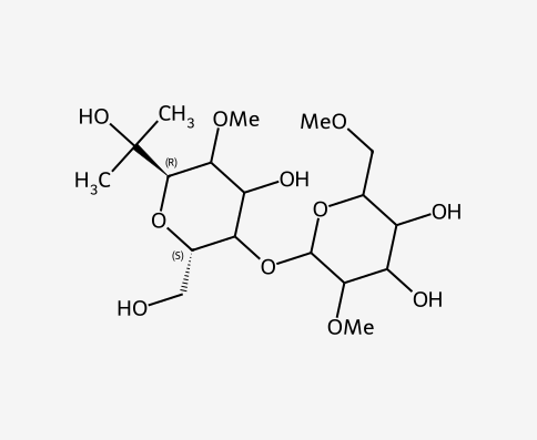 COCC1OC(OC2C(O)C(OC)[C@H](C(C)(C)O)O[C@H]2CO)C(OC)C(O)C1O